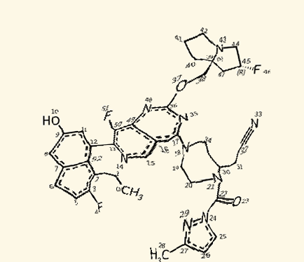 CCc1c(F)ccc2cc(O)cc(-c3ncc4c(N5CCN(C(=O)n6ccc(C)n6)C(CC#N)C5)nc(OC[C@@]56CCCN5C[C@H](F)C6)nc4c3F)c12